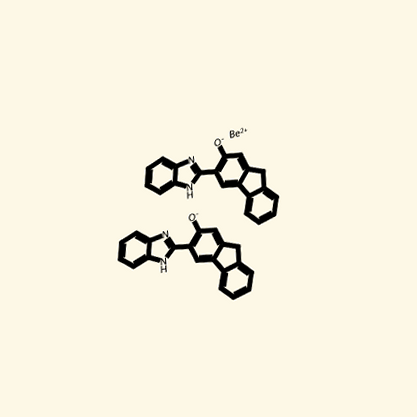 [Be+2].[O-]c1cc2c(cc1-c1nc3ccccc3[nH]1)-c1ccccc1C2.[O-]c1cc2c(cc1-c1nc3ccccc3[nH]1)-c1ccccc1C2